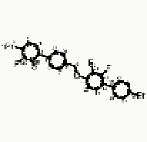 CCCc1ccc(-c2ccc(COc3ccc(-c4ccc(CC)cc4)c(F)c3F)cc2)c(F)c1F